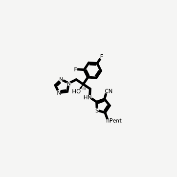 CCCCCc1cc(C#N)c(NC[C@](O)(Cn2cncn2)c2ccc(F)cc2F)s1